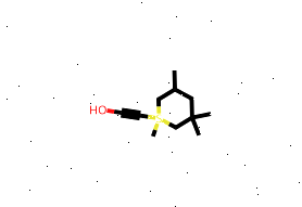 CC1CC(C)(C)CS(C)(C#CO)C1